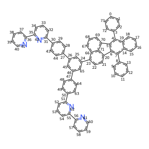 c1ccc(-c2c3c(c(-c4ccccc4)c4ccccc24)-c2ccc(-c4cc(-c5ccc(-c6cccc(-c7ccccn7)n6)cc5)cc(-c5ccc(-c6cccc(-c7ccccn7)n6)cc5)c4)c4cccc-3c24)cc1